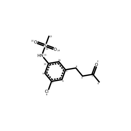 CC(=O)CCc1cc(Cl)cc(NS(C)(=O)=O)c1